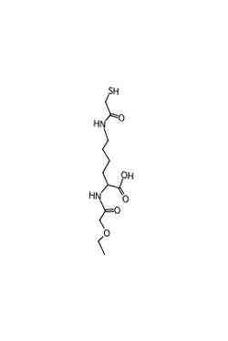 CCOCC(=O)NC(CCCCNC(=O)CS)C(=O)O